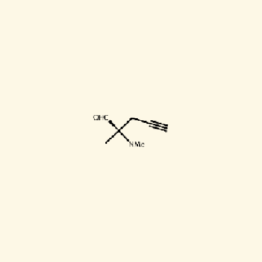 C#CC[C@](C)(C=O)NC